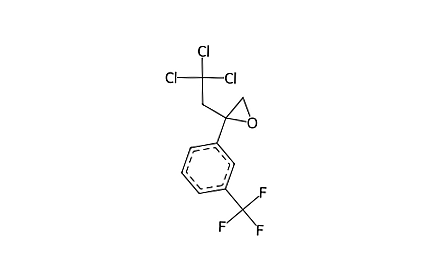 FC(F)(F)c1cccc(C2(CC(Cl)(Cl)Cl)CO2)c1